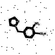 O=C(O)c1ccc(Cn2cccn2)cc1[N+](=O)[O-]